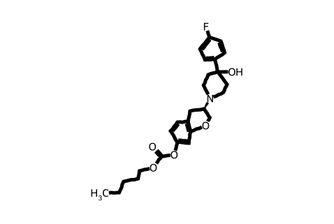 CCCCCOC(=O)Oc1ccc2c(c1)OC[C@H](N1CCC(O)(c3ccc(F)cc3)CC1)C2